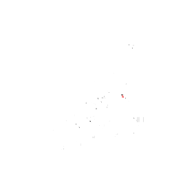 N#CCc1cccc(CC(=O)N2C3CCC2CN(c2ncnc4[nH]ccc24)C3)c1